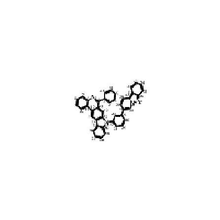 c1ccc(-c2nc3ccccc3c3cc4c5ccccc5n(-c5cccc(-c6ccc7c8ccccc8nn7c6)c5)c4cc23)cc1